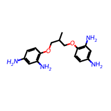 CC(COc1ccc(N)cc1N)COc1ccc(N)cc1N